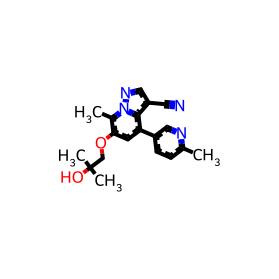 Cc1ccc(-c2cc(OCC(C)(C)O)c(C)n3ncc(C#N)c23)cn1